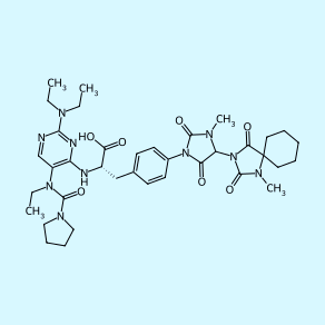 CCN(CC)c1ncc(N(CC)C(=O)N2CCCC2)c(N[C@@H](Cc2ccc(N3C(=O)C(N4C(=O)N(C)C5(CCCCC5)C4=O)N(C)C3=O)cc2)C(=O)O)n1